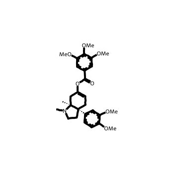 COc1ccc([C@@]23CC=C(OC(=O)c4cc(OC)c(OC)c(OC)c4)C[C@]2(C)N(C)CC3)cc1OC